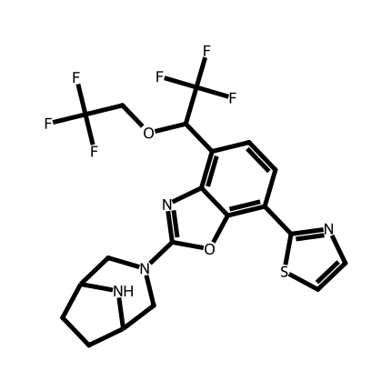 FC(F)(F)COC(c1ccc(-c2nccs2)c2oc(N3CC4CCC(C3)N4)nc12)C(F)(F)F